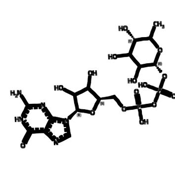 CC1O[C@H](OP(=O)(O)OP(=O)(O)OC[C@H]2O[C@@H](n3cnc4c(=O)[nH]c(N)nc43)C(O)C2O)C(O)C(O)[C@@H]1O